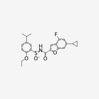 CCOc1ccc(C(C)C)cc1[S+]([O-])NC(=O)c1cc2c(F)cc(C3CC3)cc2o1